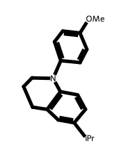 COc1ccc(N2CCCc3cc(C(C)C)ccc32)cc1